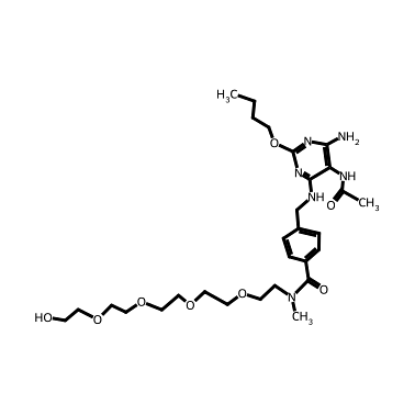 CCCCOc1nc(N)c(NC(C)=O)c(NCc2ccc(C(=O)N(C)CCOCCOCCOCCOCCO)cc2)n1